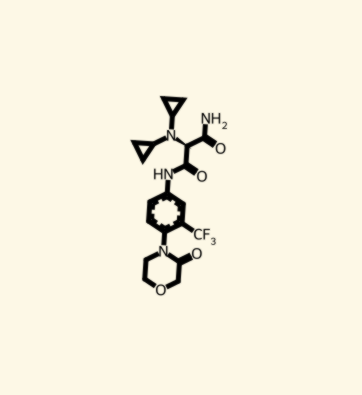 NC(=O)[C@@H](C(=O)Nc1ccc(N2CCOCC2=O)c(C(F)(F)F)c1)N(C1CC1)C1CC1